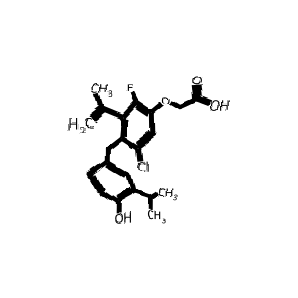 C=C(C)c1c(F)c(OCC(=O)O)cc(Cl)c1Cc1ccc(O)c(C(C)C)c1